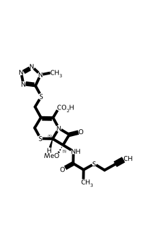 C#CCSC(C)C(=O)N[C@]1(OC)C(=O)N2C(C(=O)O)=C(CSc3nnnn3C)CS[C@H]21